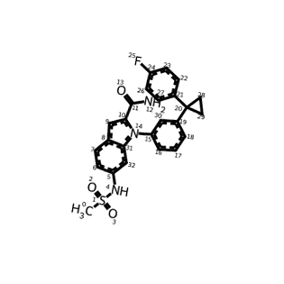 CS(=O)(=O)Nc1ccc2cc(C(N)=O)n(-c3cccc(C4(c5ccc(F)cc5)CC4)c3)c2c1